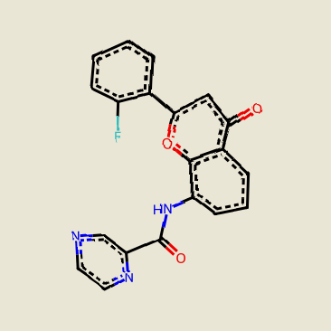 O=C(Nc1cccc2c(=O)cc(-c3ccccc3F)oc12)c1cnccn1